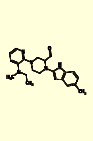 CCN(C)c1cccnc1N1CCN(c2cc3cc(C)ccc3[nH]2)C(C=O)C1